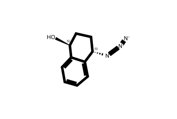 [N-]=[N+]=N[C@H]1CC[C@H](O)c2ccccc21